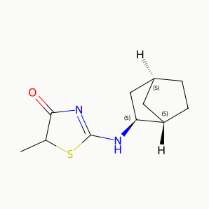 CC1SC(N[C@H]2C[C@H]3CC[C@H]2C3)=NC1=O